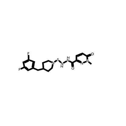 Cn1nc(C(=O)NNSN2CCC(Cc3cc(F)cc(F)c3)CC2)ccc1=O